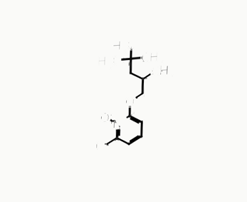 CC(COc1cccc(Cl)[n+]1[O-])CC(C)(C)C